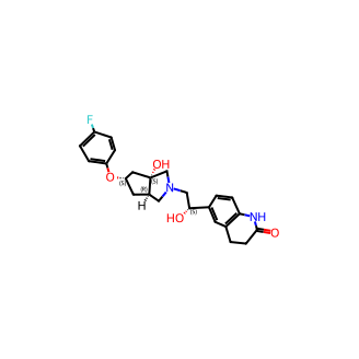 O=C1CCc2cc([C@H](O)CN3C[C@H]4C[C@H](Oc5ccc(F)cc5)C[C@@]4(O)C3)ccc2N1